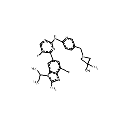 Cc1nc2c(F)cc(-c3nc(Nc4ccc(CN5CC(C)(O)C5)cn4)ncc3F)cc2n1C(C)C